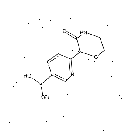 O=C1NCCOC1c1ccc(B(O)O)cn1